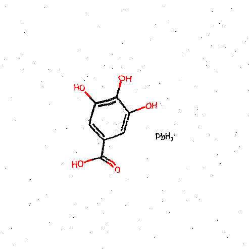 O=C(O)c1cc(O)c(O)c(O)c1.[PbH2]